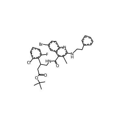 Cc1c(NCCc2ccccc2)nc2ccc(Br)cc2c1C(=O)NCC(CC(=O)OC(C)(C)C)c1c(F)cccc1Cl